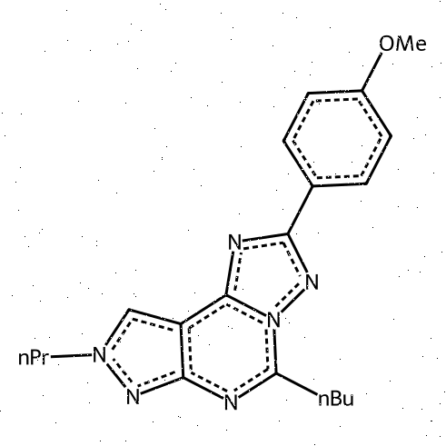 CCCCc1nc2nn(CCC)cc2c2nc(-c3ccc(OC)cc3)nn12